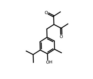 CC(=O)C(Cc1cc(C)c(O)c(C(C)C)c1)C(C)=O